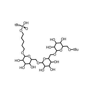 CC(C)(C)OCC1OC(OCC2OC(OCC3OC(OCCCCCOP(=O)(O)C(C)(C)C)C(O)C(O)C3O)C(O)C(O)C2O)C(O)C(O)C1O